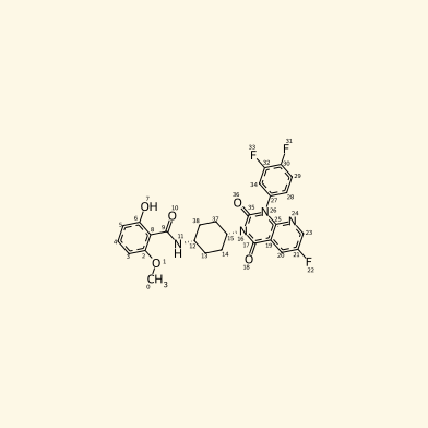 COc1cccc(O)c1C(=O)N[C@H]1CC[C@@H](n2c(=O)c3cc(F)cnc3n(-c3ccc(F)c(F)c3)c2=O)CC1